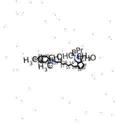 CCCC(C=O)N(C)Cc1c(C=O)cccc1CCCCCCCCN(C)C1(C)CC2CC(C)CC(C2)C1